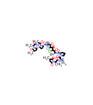 CC1CC(=O)N([C@@H](C)C(=O)N[C@@H](C)C(=O)N2CCC[C@H]2C(=O)N[C@H](C(=O)C(Cl)C(=O)C(Cl)C(=O)[C@@H](NC(=O)[C@@H]2CCCN2C(=O)[C@H](C)NC(=O)[C@H](C)N2C(=O)CC(C)C2=O)C(C)C)C(C)C)C1=O